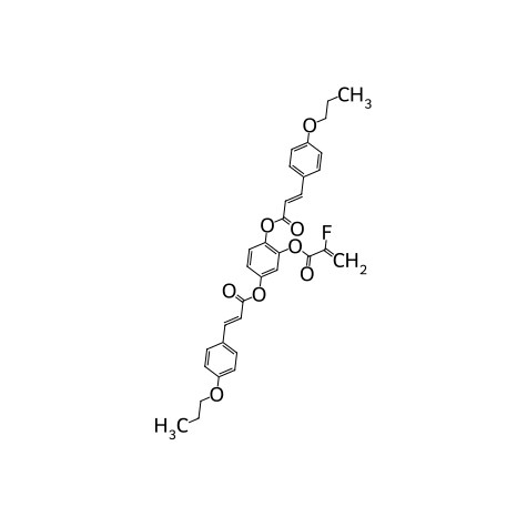 C=C(F)C(=O)Oc1cc(OC(=O)/C=C/c2ccc(OCCC)cc2)ccc1OC(=O)/C=C/c1ccc(OCCC)cc1